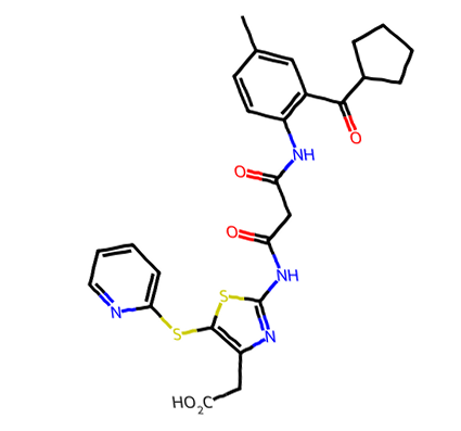 Cc1ccc(NC(=O)CC(=O)Nc2nc(CC(=O)O)c(Sc3ccccn3)s2)c(C(=O)C2CCCC2)c1